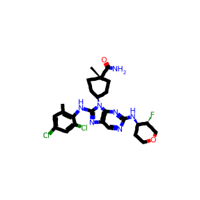 Cc1cc(Cl)cc(Cl)c1Nc1nc2cnc(N[C@@H]3CCOC[C@H]3F)nc2n1[C@H]1CC[C@@](C)(C(N)=O)CC1